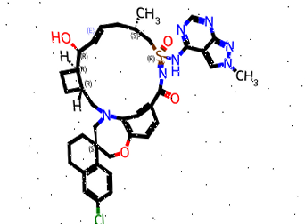 C[C@H]1C/C=C/[C@H](O)[C@@H]2CC[C@H]2CN2C[C@@]3(CCCc4cc(Cl)ccc43)COc3ccc(cc32)C(=O)N=[S@](=O)(Nc2ncnc3nn(C)cc23)C1